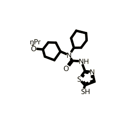 CCCOC1CCC(N(C(=O)Nc2ncc(S)s2)C2CCCCC2)CC1